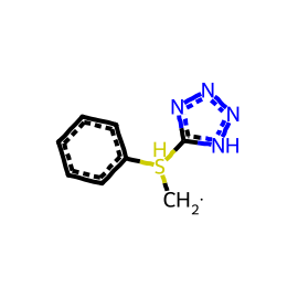 [CH2][SH](c1ccccc1)c1nnn[nH]1